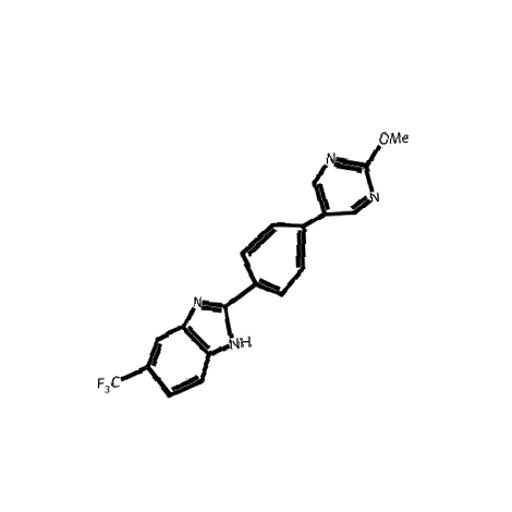 COc1ncc(-c2ccc(-c3nc4cc(C(F)(F)F)ccc4[nH]3)cc2)cn1